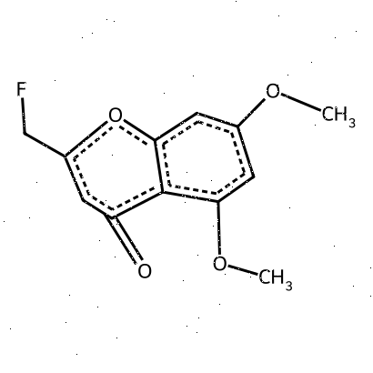 COc1cc(OC)c2c(=O)cc(CF)oc2c1